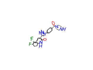 O=C(c1ccc(-n2cc(-c3cc4c(F)c(F)ccc4[nH]c3=O)nn2)cc1)N1CCNCC1